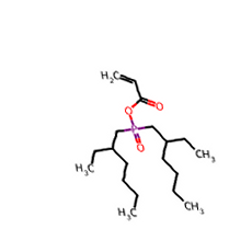 C=CC(=O)OP(=O)(CC(CC)CCCC)CC(CC)CCCC